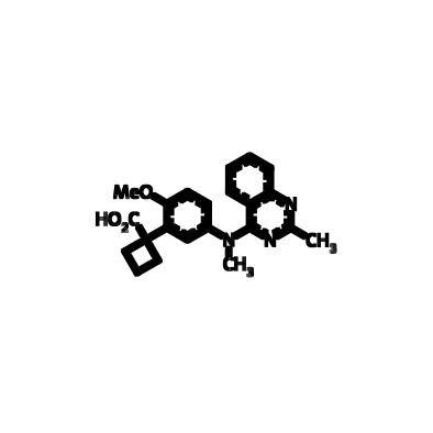 COc1ccc(N(C)c2nc(C)nc3ccccc23)cc1C1(C(=O)O)CCC1